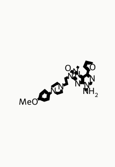 COc1ccc(N2CCN(CCn3c(=O)n(C)n4c5c(nc34)N(N)CN=C5c3ccco3)CC2)cc1